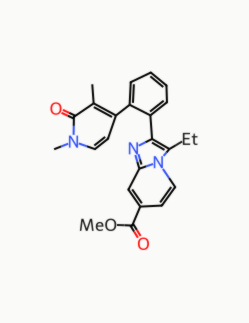 CCc1c(-c2ccccc2-c2ccn(C)c(=O)c2C)nc2cc(C(=O)OC)ccn12